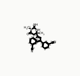 CN1C(=N)N[C@](C)(c2cc(-c3cccc(C#N)c3)cs2)[C@H](c2ccc(C#N)cc2)C1=O